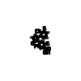 O=C(O)c1cc(F)c(N2C(=O)CCC2c2cccc(F)c2Cl)cc1F